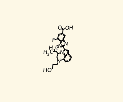 CCC1CN(CCCO)c2cccc3cc(-c4nc5cc(C(=O)O)cc(F)c5n4C)n1c23